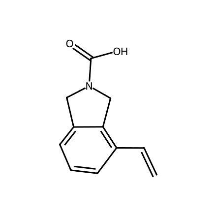 C=Cc1cccc2c1CN(C(=O)O)C2